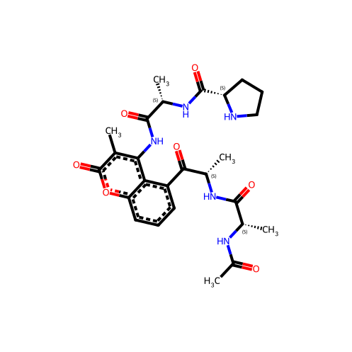 CC(=O)N[C@@H](C)C(=O)N[C@@H](C)C(=O)c1cccc2oc(=O)c(C)c(NC(=O)[C@H](C)NC(=O)[C@@H]3CCCN3)c12